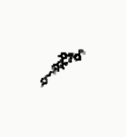 Cc1ccc(NC(=O)c2cccc(C(F)(F)F)c2)cc1N1Cc2cnc(NCCCN3CCN(C)CC3)nc2N(C)C1=O